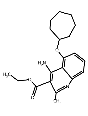 CCOC(=O)c1c(C)nc2cccc(OC3CCCCCC3)c2c1N